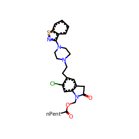 CCCCCC(=O)OCN1C(=O)Cc2cc(CCN3CCN(c4nsc5ccccc45)CC3)c(Cl)cc21